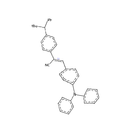 CC(C)C(c1ccc(/C(C#N)=C/c2ccc(N(c3ccccc3)c3ccccc3)cc2)cc1)C(C)(C)C